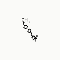 CCCC[C@H]1CC[C@H](C2CCC(CCc3cnc(F)c(F)c3)CC2)CC1